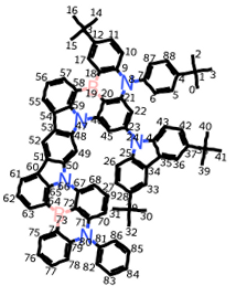 CC(C)(C)c1ccc(N2c3ccc(C(C)(C)C)cc3B3c4c2cc(-n2c5ccc(C(C)(C)C)cc5c5cc(C(C)(C)C)ccc52)cc4-n2c4cc5c(cc4c4cccc3c42)c2cccc3c2n5-c2cccc4c2B3c2ccccc2N4c2ccccc2)cc1